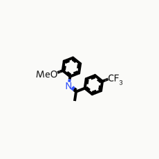 COc1ccccc1/N=C(/C)c1ccc(C(F)(F)F)cc1